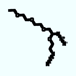 CCOCCOCCOCC(N=[N+]=[N-])OCCN=[N+]=[N-]